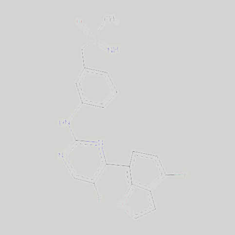 CS(=N)(=O)Cc1cccc(Nc2ncc(F)c(-c3ccc(F)c4ccoc34)n2)c1